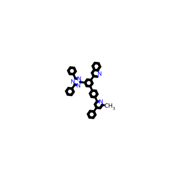 Cc1cc(-c2ccccc2)cc(-c2ccc(-c3cc(-c4cnc5ccccc5c4)cc(-c4nc(-c5ccccc5)nc(-c5ccccc5)n4)c3)cc2)n1